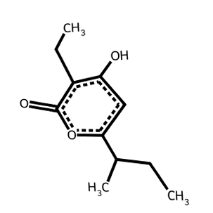 CCc1c(O)cc(C(C)CC)oc1=O